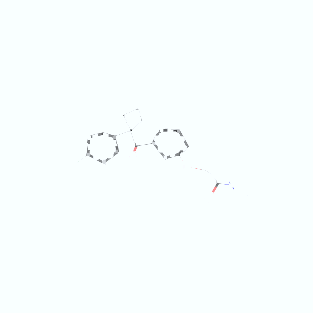 NC(=O)COc1cccc(C(=O)C2(c3ccc(Cl)cc3)CCC2)c1